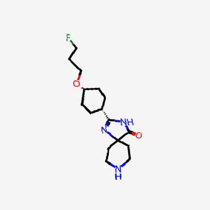 O=C1NC([C@H]2CC[C@@H](OCCCF)CC2)=NC12CCNCC2